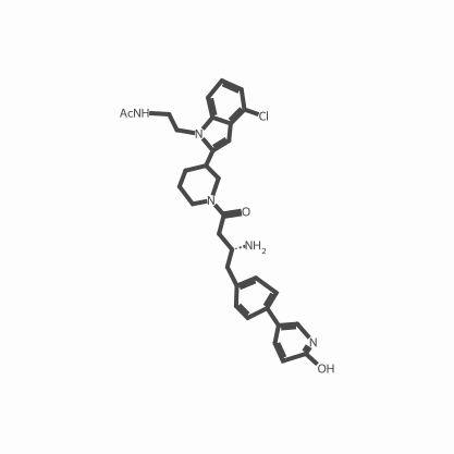 CC(=O)NCCn1c(C2CCCN(C(=O)C[C@H](N)Cc3ccc(-c4ccc(O)nc4)cc3)C2)cc2c(Cl)cccc21